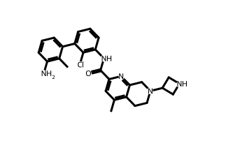 Cc1cc(C(=O)Nc2cccc(-c3cccc(N)c3C)c2Cl)nc2c1CCN(C1CNC1)C2